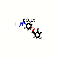 CCOC(=O)N(N)c1ccc(OCc2ccccc2C)cc1